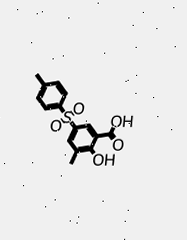 Cc1ccc(S(=O)(=O)c2cc(C)c(O)c(C(=O)O)c2)cc1